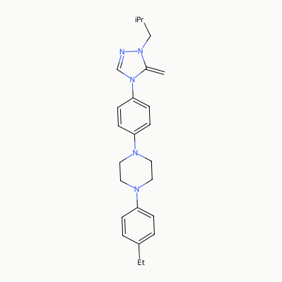 C=C1N(CC(C)C)N=CN1c1ccc(N2CCN(c3ccc(CC)cc3)CC2)cc1